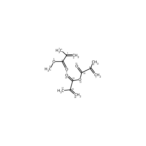 C=C(C)C(=O)OC.C=C(C)C(=O)OC(=O)C(=C)C